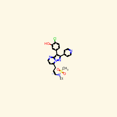 CCN(/C=C\Cc1ccnc2c(-c3ccc(Cl)c(O)c3)c(-c3ccncc3)nn12)S(C)(=O)=O